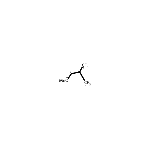 [CH2]OCC(C(F)(F)F)C(F)(F)F